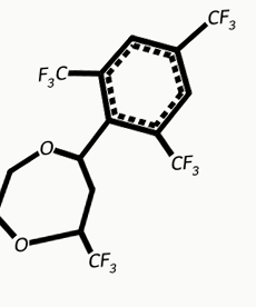 FC(F)(F)c1cc(C(F)(F)F)c(C2CC(C(F)(F)F)OCCO2)c(C(F)(F)F)c1